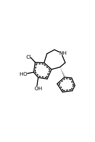 Oc1cc2c(c(Cl)c1O)CCNC[C@@H]2c1ccccc1